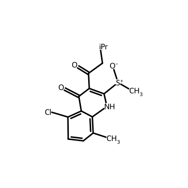 Cc1ccc(Cl)c2c(=O)c(C(=O)CC(C)C)c([S+](C)[O-])[nH]c12